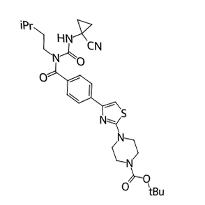 CC(C)CCN(C(=O)NC1(C#N)CC1)C(=O)c1ccc(-c2csc(N3CCN(C(=O)OC(C)(C)C)CC3)n2)cc1